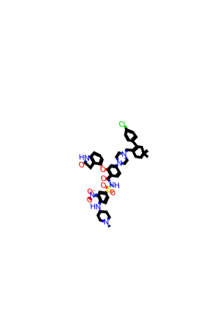 CN1CCC(Nc2ccc(S(=O)(=O)NC(=O)c3ccc(N4CCN(CC5=C(c6ccc(Cl)cc6)CC(C)(C)CC5)CC4)cc3Oc3cccc4c3CC(=O)N4)cc2[N+](=O)[O-])CC1